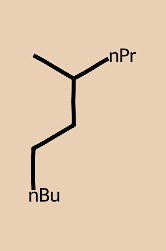 [CH2]CCC(C)CCC[CH]CC